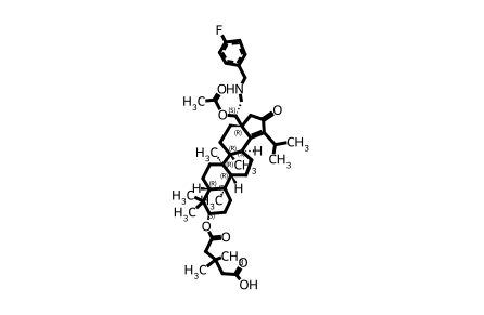 CC(=O)O[C@H](CNCc1ccc(F)cc1)[C@@]12CC[C@]3(C)[C@H](CC[C@@H]4[C@@]5(C)CC[C@H](OC(=O)CC(C)(C)CC(=O)O)C(C)(C)[C@@H]5CC[C@]43C)C1=C(C(C)C)C(=O)C2